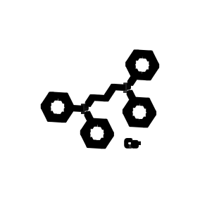 [Co].c1ccc(P(CCCP(c2ccccc2)c2ccccc2)c2ccccc2)cc1